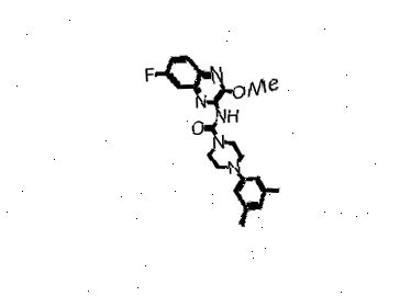 COc1nc2ccc(F)cc2nc1NC(=O)N1CCN(c2cc(C)cc(C)c2)CC1